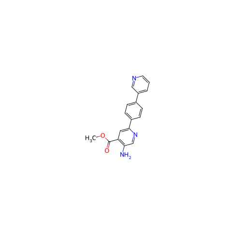 COC(=O)c1cc(-c2ccc(-c3cccnc3)cc2)ncc1N